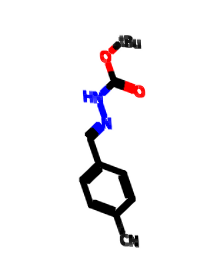 CC(C)(C)OC(=O)N/N=C/c1ccc(C#N)cc1